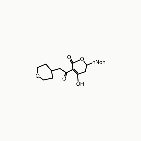 CCCCCCCCCC1CC(O)=C(C(=O)CC2CCOCC2)C(=O)O1